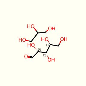 O=C[C@H](O)[C@@H](O)[C@H](O)CO.OCC(O)CO